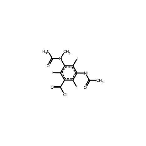 CC(=O)Nc1c(I)c(C(=O)Cl)c(I)c(N(C)C(C)=O)c1I